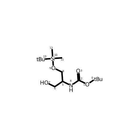 CC(C)(C)OC(=O)NC(CO)CO[Si](C)(C)C(C)(C)C